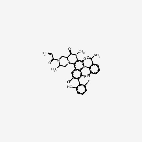 C=CC(=O)N1CC2C(=O)N(C)c3c(c4cc(Cl)c(-c5c(O)cccc5F)c(F)c4n(-c4c(C(N)=O)cccc4C(C)C)c3=O)N2CC1C